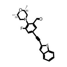 C[C@@H]1CN(c2c(F)cc(C#Cc3cc4ccccc4s3)cc2C=O)C[C@H](C)O1